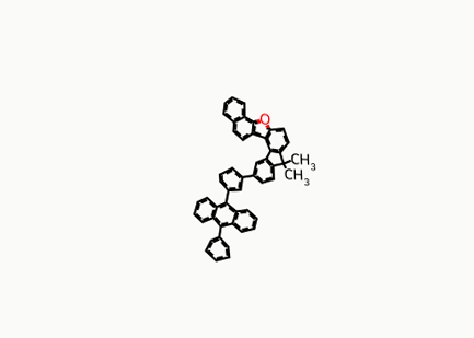 CC1(C)c2ccc(-c3cccc(-c4c5ccccc5c(-c5ccccc5)c5ccccc45)c3)cc2-c2c1ccc1oc3c4ccccc4ccc3c21